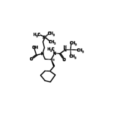 CN(C(=O)NC(C)(C)C)[C@@H](CC1CCCCC1)CN(CC[Si](C)(C)C)C(=O)O